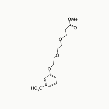 COC(=O)CCOCCOCCOc1cccc(C(=O)O)c1